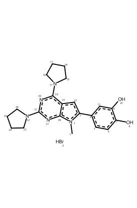 Br.Cn1c(-c2ccc(O)c(O)c2)cc2c(N3CCCC3)nc(N3CCCC3)nc21